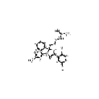 CC(=N)NCCCC1(c2ccccc2)SC(c2cc(F)ccc2F)=NN1c1nnc(C)s1